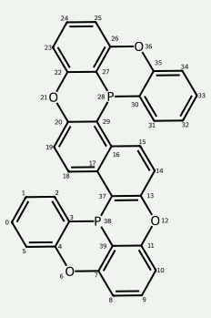 c1ccc2c(c1)Oc1cccc3oc4ccc5c(ccc6oc7cccc8c7p(c65)-c5ccccc5O8)c4p-2c13